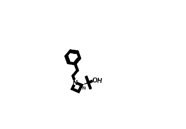 CC(C)(O)[C@@H]1CCN1CCc1ccccc1